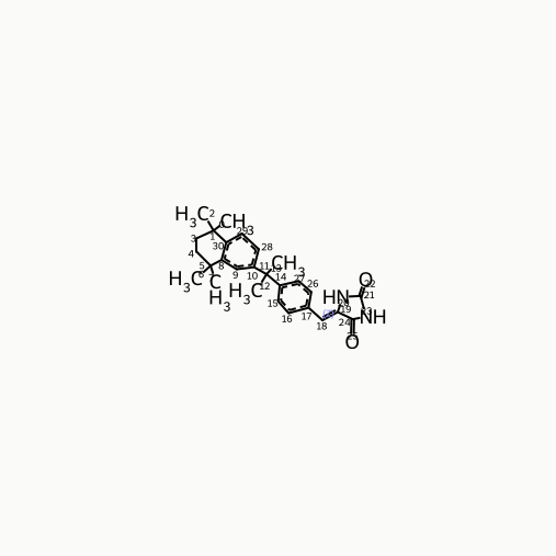 CC1(C)CCC(C)(C)c2cc(C(C)(C)c3ccc(/C=C4\NC(=O)NC4=O)cc3)ccc21